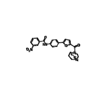 O=C(Nc1ccc(-c2ccc(C(=O)N3CCN4CCC3CC4)o2)cc1)c1cccc([N+](=O)[O-])c1